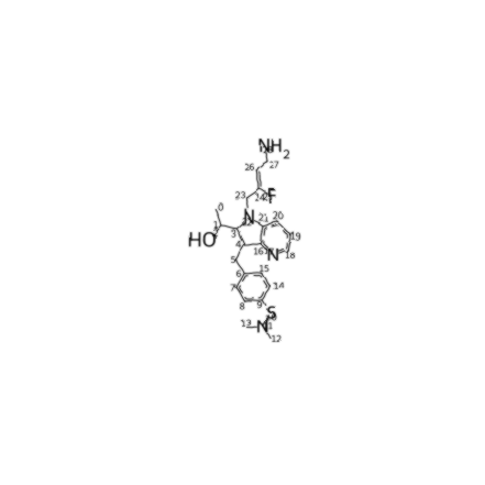 CC(O)C1C(Cc2ccc(SN(C)C)cc2)c2ncccc2N1C/C(F)=C/CN